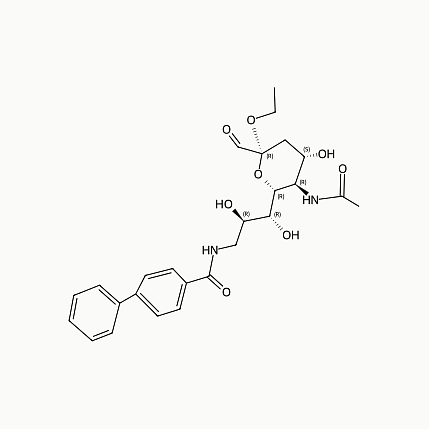 CCO[C@]1(C=O)C[C@H](O)[C@@H](NC(C)=O)[C@H]([C@H](O)[C@H](O)CNC(=O)c2ccc(-c3ccccc3)cc2)O1